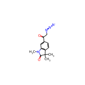 CN1C(=O)C(C)(C)c2ccc(C(=O)CN=[N+]=[N-])cc21